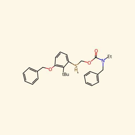 CCN(Cc1ccccc1)C(=O)OC[SH](C)c1cccc(OCc2ccccc2)c1C(C)(C)C